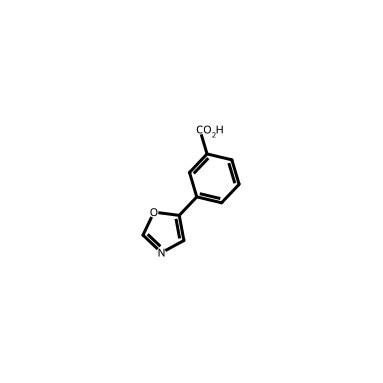 O=C(O)c1cccc(-c2cnco2)c1